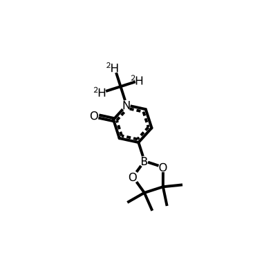 [2H]C([2H])([2H])n1ccc(B2OC(C)(C)C(C)(C)O2)cc1=O